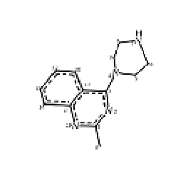 Cc1nc(N2CCNCC2)c2ccccc2n1